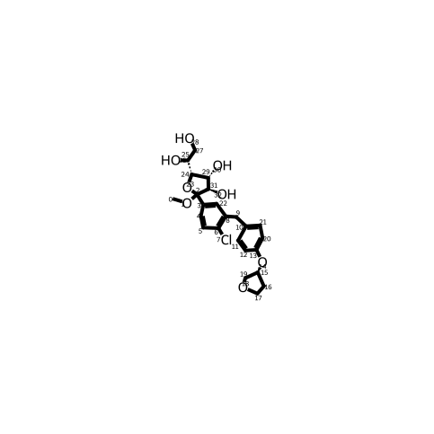 COC1(c2ccc(Cl)c(Cc3ccc(O[C@H]4CCOC4)cc3)c2)O[C@H](C(O)CO)[C@H](O)[C@H]1O